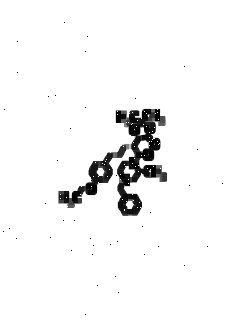 CCOc1ccc(CCC[C@@H](C(=O)N2CCN(Cc3ccccc3)C[C@@H]2C)[C@@H]2OC(C)(C)OC2=O)cc1